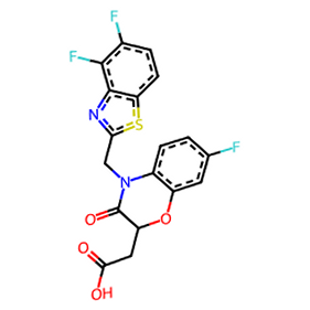 O=C(O)CC1Oc2cc(F)ccc2N(Cc2nc3c(F)c(F)ccc3s2)C1=O